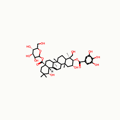 CC1(C)CC[C@]2(C(=O)OC3OC(CO)[C@@H](O)[C@H](O)C3O)CC[C@]3(C)C(=CCC4[C@@]5(C)C[C@@H](O)[C@H](OC(=O)c6cc(O)c(O)c(O)c6)[C@](C)(CO)C5CC[C@]43C)[C@@H]2[C@@H]1O